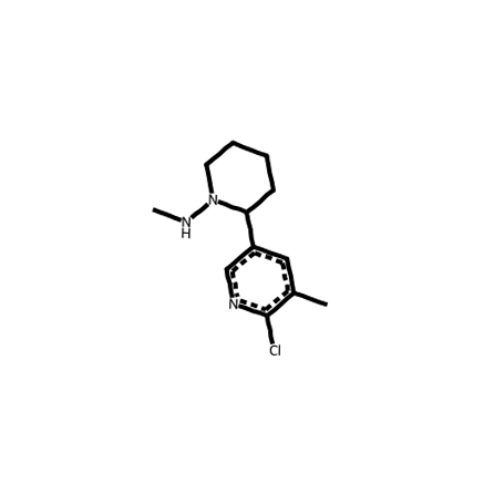 CNN1CCCCC1c1cnc(Cl)c(C)c1